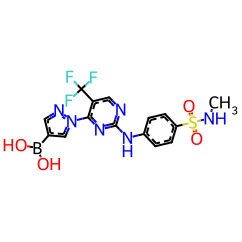 CNS(=O)(=O)c1ccc(Nc2ncc(C(F)(F)F)c(-n3cc(B(O)O)cn3)n2)cc1